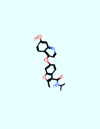 Cc1oc2cc(Oc3ccnc4cc(O)ccc34)ccc2c1C(=O)NC(C)C